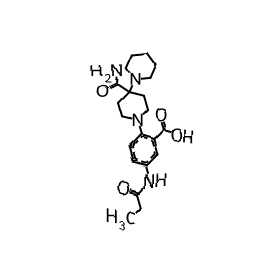 CCC(=O)Nc1ccc(N2CCC(C(N)=O)(N3CCCCC3)CC2)c(C(=O)O)c1